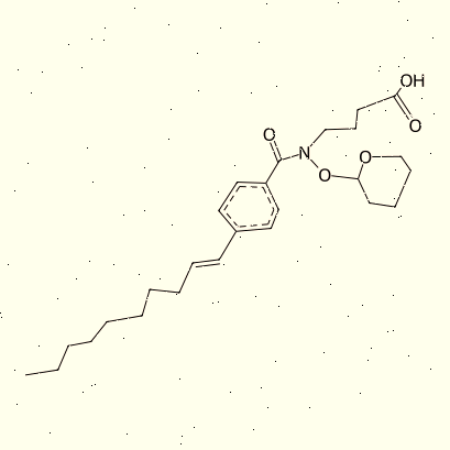 CCCCCCCCC=Cc1ccc(C(=O)N(CCCC(=O)O)OC2CCCCO2)cc1